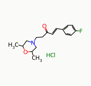 CC1CN(CCC(=O)C=Cc2ccc(F)cc2)CC(C)O1.Cl